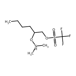 CCCCC(COS(=O)(=O)C(F)(F)F)O[SiH](C)C